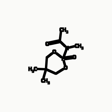 CC(=O)N(C)P1(=O)OCC(C)(C)CO1